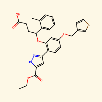 CCOC(=O)c1cc(-c2ccc(OCc3ccsc3)cc2OC(CCC(=O)O)c2ccccc2C)n[nH]1